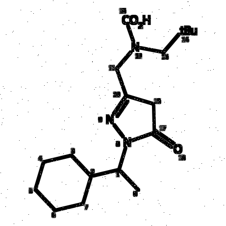 CC(C1CCCCC1)N1N=C(CN(CC(C)(C)C)C(=O)O)CC1=O